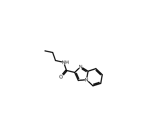 CCCNC(=O)c1cn2ccccc2n1